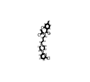 Cc1ccc2c(c1)OC=C(Cl)N(CCCCN1CCN(c3cccc(Cl)n3)CC1)C2=O